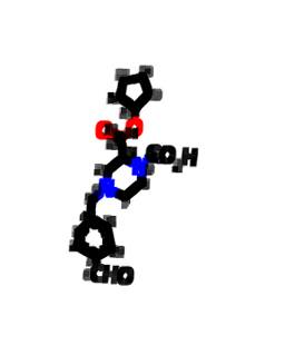 O=Cc1ccc(CN2CCN(C(=O)O)C(C(=O)OC3CCCC3)C2)cc1